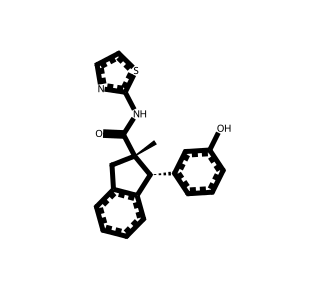 C[C@]1(C(=O)Nc2nccs2)Cc2ccccc2[C@H]1c1cccc(O)c1